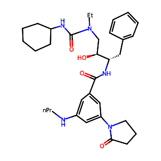 CCCNc1cc(C(=O)N[C@@H](Cc2ccccc2)[C@@H](O)CN(CC)C(=O)NC2CCCCC2)cc(N2CCCC2=O)c1